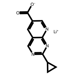 O=C([O-])c1cnc2nc(C3CC3)ncc2c1.[Li+]